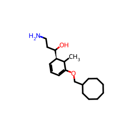 CC1C(OCC2CCCCCCC2)=CC=C[C@H]1C(O)CCN